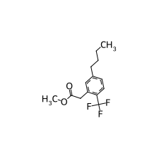 CCCCc1ccc(C(F)(F)F)c(CC(=O)OC)c1